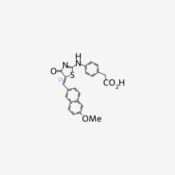 COc1ccc2cc(/C=C3\SC(Nc4ccc(CC(=O)O)cc4)=NC3=O)ccc2c1